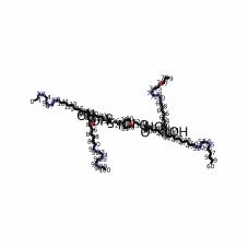 CC/C=C\C/C=C\C/C=C\CCCCCC[C@H](O)CN(CCCCSSCCN1CCN(CCOC(=O)CCCCN(C[C@H](O)CCCCCC/C=C\C/C=C\CCCCC)C[C@H](O)CCCCCC/C=C\C/C=C\CCCCC)CC1)C[C@@H](O)CCCCCC/C=C\C/C=C\C/C=C\CC